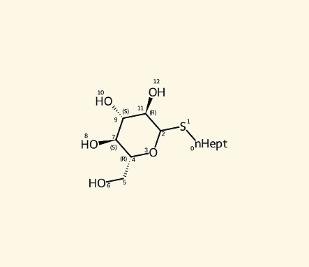 CCCCCCCSC1O[C@H](CO)[C@@H](O)[C@H](O)[C@H]1O